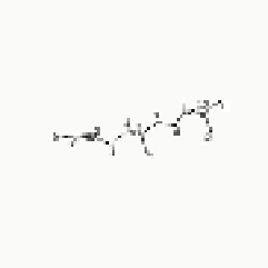 CC#CC/C=C(\C)CCC=C(C)C